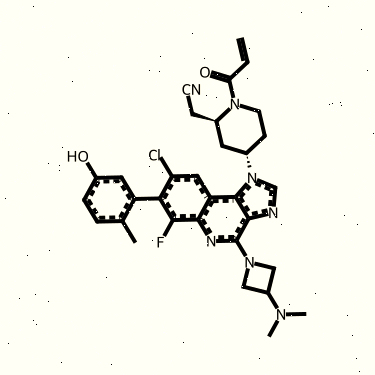 C=CC(=O)N1CC[C@H](n2cnc3c(N4CC(N(C)C)C4)nc4c(F)c(-c5cc(O)ccc5C)c(Cl)cc4c32)C[C@H]1CC#N